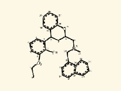 CCOc1cccc(C2CC(CN(C)Cc3cccc4ccccc34)Oc3ccccc32)c1F